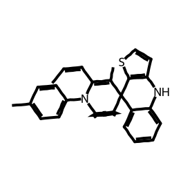 C/C=C\C1=C(C)C2(c3ccccc3Nc3ccsc32)c2ccccc2N1c1ccc(C)cc1